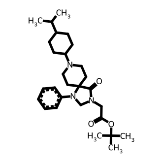 CC(C)C1CCC(N2CCC3(CC2)C(=O)N(CC(=O)OC(C)(C)C)CN3c2ccccc2)CC1